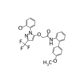 COc1ccc(-c2ccccc2NC(=O)COc2cc(C(F)(F)F)nn2-c2ccccc2Cl)cc1